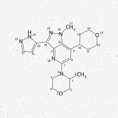 CC1COCCN1c1cc(C2CCOCC2)c2c(n1)c(-c1ccn[nH]1)nn2C